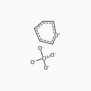 [O-][Cl+3]([O-])([O-])[O-].c1cc[o+]cc1